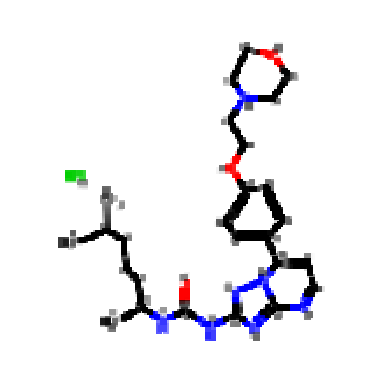 CC(C)CCC[C@H](C)NC(=O)Nc1nc2nccc(-c3ccc(OCCN4CCOCC4)cc3)n2n1.Cl